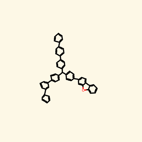 c1ccc(-c2ccc(-c3ccc(C(c4ccc(-c5cccc(-c6ccccc6)c5)cc4)c4ccc(-c5ccc6c(c5)oc5ccccc56)cc4)cc3)cc2)cc1